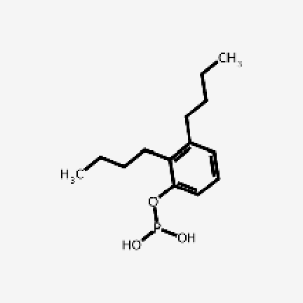 CCCCc1cccc(OP(O)O)c1CCCC